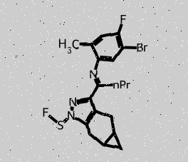 CCC/C(=N\c1cc(Br)c(F)cc1C)c1nn(SF)c2c1CC1CC1C2